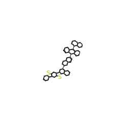 c1ccc2c(-c3c4ccccc4c(-c4ccc5cc(-c6cc7c8cc9sc%10ccccc%10c9cc8sc7c7ccccc67)ccc5c4)c4ccccc34)cccc2c1